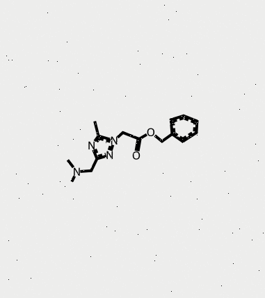 Cc1nc(CN(C)C)nn1CC(=O)OCc1ccccc1